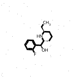 CC[C@H]1CCC[C@H]([C@@H](O)c2ccccc2F)N1